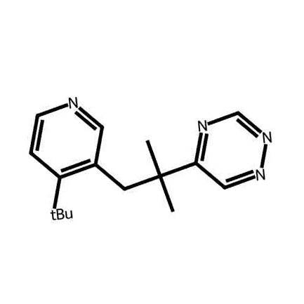 CC(C)(C)c1ccncc1CC(C)(C)c1cnncn1